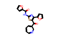 O=C(Nc1nc(-c2ccco2)c(C(=O)C2=CC=CC=NC2)s1)c1ccco1